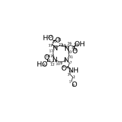 O=CCCNC(=O)CN1CCN(CC(=O)O)CCN(CC(=O)O)CCN(CC(=O)O)CC1